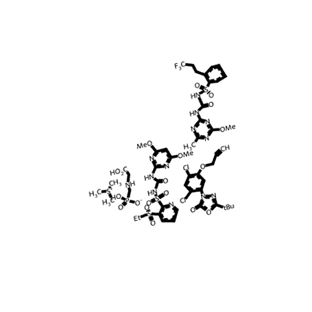 C#CCOc1cc(-n2nc(C(C)(C)C)oc2=O)c(Cl)cc1Cl.CCS(=O)(=O)c1cccnc1S(=O)(=O)NC(=O)Nc1nc(OC)cc(OC)n1.COc1nc(C)nc(NC(=O)NS(=O)(=O)c2ccccc2CCC(F)(F)F)n1.C[S+](C)C.O=C(O)CNCP(=O)([O-])O